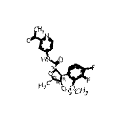 COc1c([C@H]2[C@@H](C)[C@H](C)O[C@@H]2C(=O)Nc2ccnc(C(C)=O)c2)ccc(F)c1F